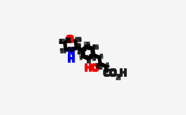 O=C(O)CC(O)Cc1ccc(C2COCCN2)cc1